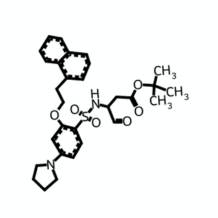 CC(C)(C)OC(=O)CC(C=O)NS(=O)(=O)c1ccc(N2CCCC2)cc1OCCc1cccc2ccccc12